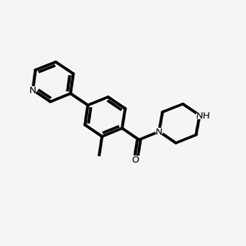 Cc1cc(-c2cccnc2)ccc1C(=O)N1CCNCC1